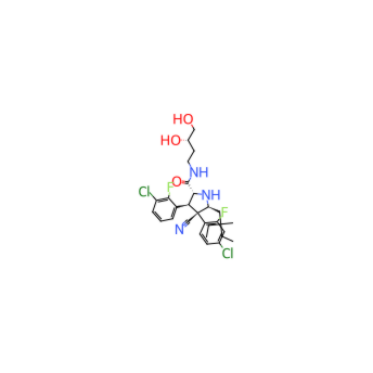 CCC(C)(CC)C[C@@H]1N[C@@H](C(=O)NCC[C@H](O)CO)[C@H](c2cccc(Cl)c2F)[C@@]1(C#N)c1ccc(Cl)cc1F